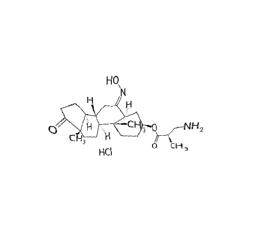 C[C@H](CN)C(=O)O[C@H]1CC[C@@]2(C)[C@H](C1)/C(=N/O)C[C@@H]1[C@@H]2CC[C@]2(C)C(=O)CC[C@@H]12.Cl